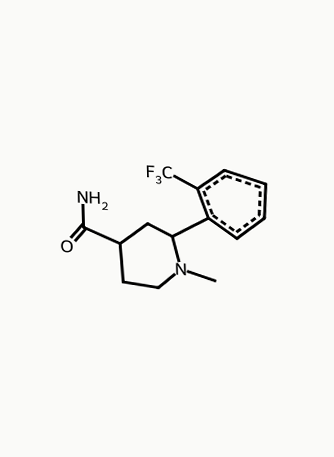 CN1CCC(C(N)=O)CC1c1ccccc1C(F)(F)F